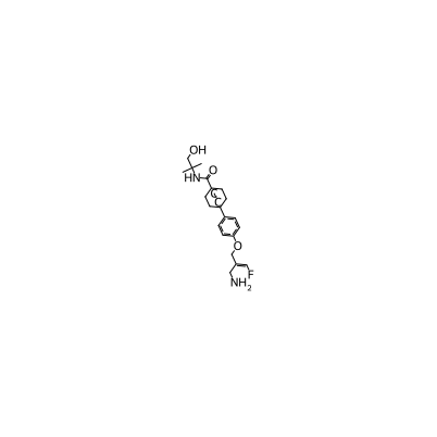 CC(C)(CO)NC(=O)C12CCC(c3ccc(OCC(=CF)CN)cc3)(CC1)CC2